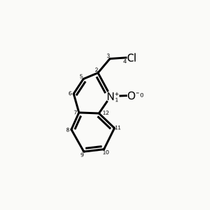 [O-][n+]1c(CCl)ccc2ccccc21